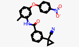 Cc1ccc(Oc2ccc([N+](=O)[O-])cc2)cc1NC(=O)c1cccc(C2(C#N)CC2)c1